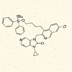 CC(C)(C)[Si](OCCCCc1c(Cn2c(=O)n(C3CC3)c3ccncc32)ncc2cc(Cl)ccc12)(c1ccccc1)c1ccccc1